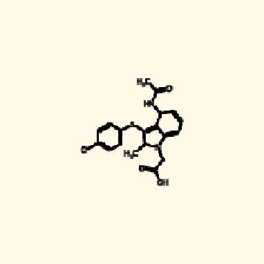 CC(=O)NC1C=CC=C2C1=C(Sc1ccc(Cl)cc1)C(C)N2CC(=O)O